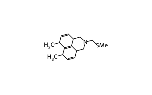 CSCN1CC2C=CC(C)C3=C2C(C=CC3C)C1